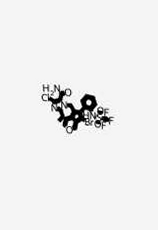 CCc1nc(Cl)c(C(N)=O)n1Cc1c2ccocc-2c(Br)c1-c1ccccc1NS(=O)(=O)C(F)(F)F